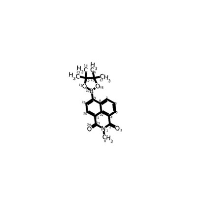 CN1C(=O)c2cccc3c(B4OC(C)(C)C(C)(C)O4)ccc(c23)C1=O